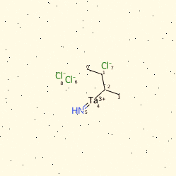 CC[CH](C)[Ta+3]=[NH].[Cl-].[Cl-].[Cl-]